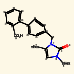 CCCCCCc1cn(CCCCCC)c(=O)n1Cc1ccc(-c2ccccc2C(=O)O)cc1